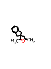 C=CCC1(C(C)=O)Cc2ccccc2C1